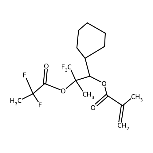 C=C(C)C(=O)OC(C1CCCCC1)C(C)(OC(=O)C(C)(F)F)C(F)(F)F